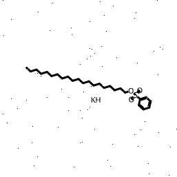 CCCCCCCCCCCCCCCCCCCCOS(=O)(=O)c1ccccc1.[KH]